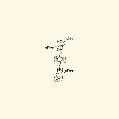 CCCCCCCCCCCC(O)CN(CCCCC1NC(=O)C(CCCCN(CC(O)CCCCCCCCCCC)CC(O)CCCCCCCCCCC)NC1=O)CC(O)CCCCCCCCCCC